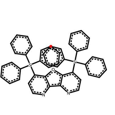 c1ccc([Si](c2ccccc2)(c2ccccc2)c2ccnc3c2oc2c([Si](c4ccccc4)(c4ccccc4)c4ccccc4)ccnc23)cc1